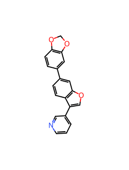 c1cncc(-c2coc3cc(-c4ccc5c(c4)OCO5)ccc23)c1